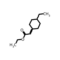 CCOC(=O)C=C1CCC(CC)CC1